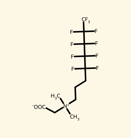 C[N+](C)(CCCC(F)(F)C(F)(F)C(F)(F)C(F)(F)C(F)(F)F)CC(=O)[O-]